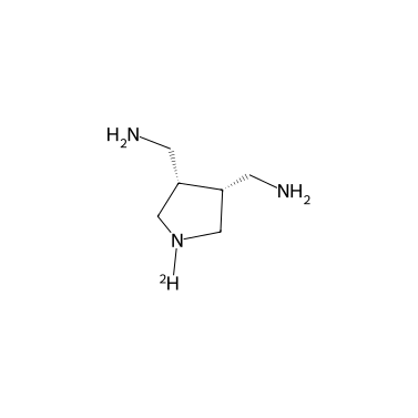 [2H]N1C[C@@H](CN)[C@@H](CN)C1